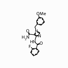 COc1cccc(Cn2cnc(NC(=O)c3ccccc3F)c2C(N)=O)c1